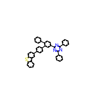 c1ccc(-c2nc(-c3ccccc3)nc(-c3ccc(-c4ccccc4)c(-c4ccc(-c5ccc6sc7ccccc7c6c5)cc4)c3)n2)cc1